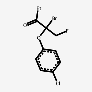 CCC(=O)C(Br)(CF)Oc1ccc(Cl)cc1